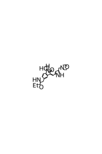 CCC(=O)C(=N)Cc1ccc2c(c1)C(=Cc1cc(CN3CCOCC3)c[nH]1)C(=O)N2.Cl